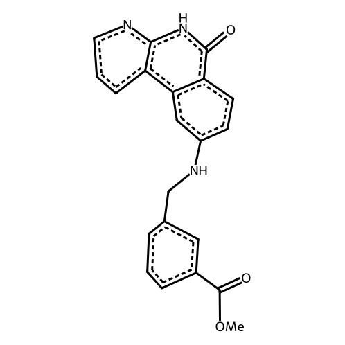 COC(=O)c1cccc(CNc2ccc3c(=O)[nH]c4ncccc4c3c2)c1